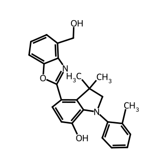 Cc1ccccc1N1CC(C)(C)c2c(-c3nc4c(CO)cccc4o3)ccc(O)c21